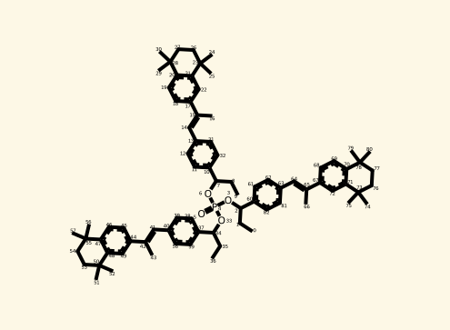 CCC(OP(=O)(OC(CC)c1ccc(/C=C(\C)c2ccc3c(c2)C(C)(C)CCC3(C)C)cc1)OC(CC)c1ccc(/C=C(\C)c2ccc3c(c2)C(C)(C)CCC3(C)C)cc1)c1ccc(/C=C(\C)c2ccc3c(c2)C(C)(C)CCC3(C)C)cc1